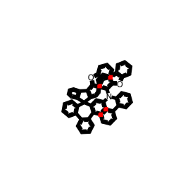 c1ccc(-c2ccccc2N(c2ccc3c(c2)C2(c4ccccc4-c4ccccc4-3)c3ccccc3-c3c2ccc2c3oc3ccccc32)c2cccc3c2oc2ccccc23)cc1